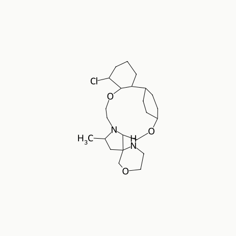 CC1CC2(COCCN2)C2COC3CCC(CC3)C3CCCC(Cl)C3OCCN12